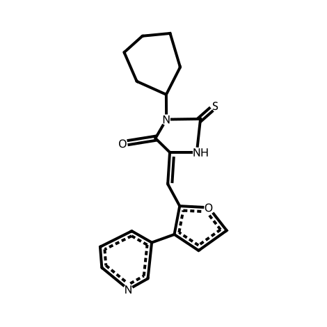 O=C1/C(=C/c2occc2-c2cccnc2)NC(=S)N1C1CCCCC1